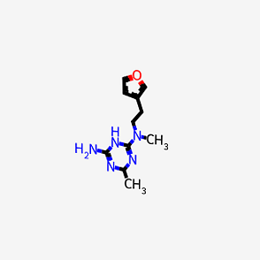 CC1N=C(N)NC(N(C)CCc2ccoc2)=N1